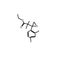 CCOC(=O)C(C)(C)C1(c2ccc(F)cc2F)CO1